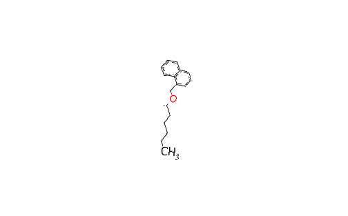 CCCCC[CH]OCc1cccc2ccccc12